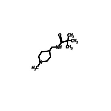 CN1CCC(CNC(=O)C(C)(C)C)CC1